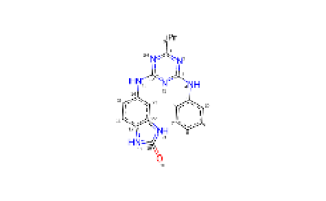 CC(C)c1nc(Nc2ccccc2)nc(Nc2ccc3[nH]c(=O)[nH]c3c2)n1